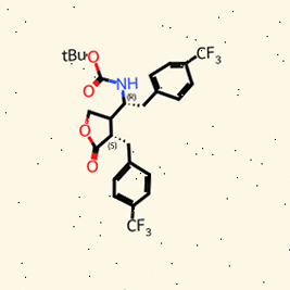 CC(C)(C)OC(=O)N[C@H](Cc1ccc(C(F)(F)F)cc1)C1COC(=O)[C@H]1Cc1ccc(C(F)(F)F)cc1